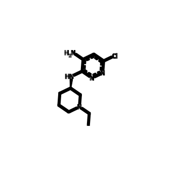 CCN1CCC[C@@H](Nc2nnc(Cl)cc2N)C1